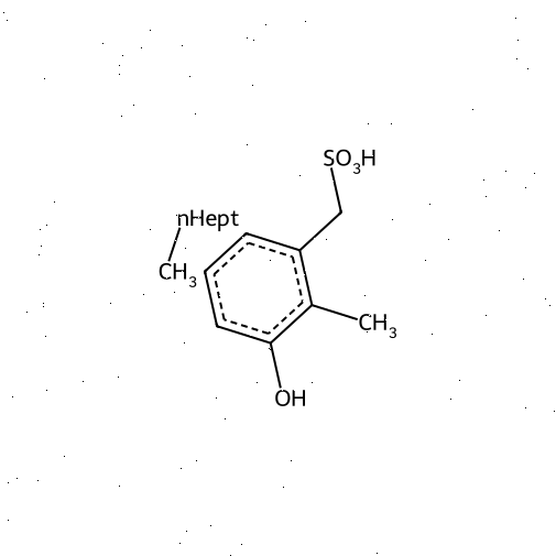 CCCCCCCC.Cc1c(O)cccc1CS(=O)(=O)O